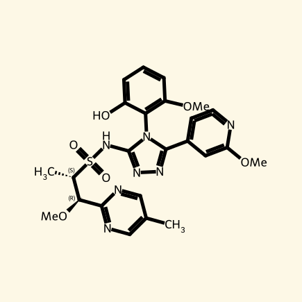 COC1=CC(c2nnc(NS(=O)(=O)[C@@H](C)[C@H](OC)c3ncc(C)cn3)n2-c2c(O)cccc2OC)=C=C=N1